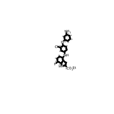 CCOC(=O)c1cc2c(Nc3ccc(Oc4cccc(N)c4)c(Cl)c3)ccc(F)c2[nH]1